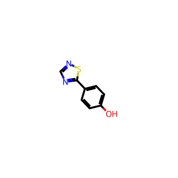 Oc1ccc(-c2ncns2)cc1